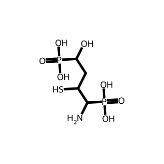 NC(C(S)CC(O)P(=O)(O)O)P(=O)(O)O